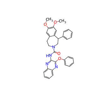 COc1cc2c(cc1OC)C(c1ccccc1)CN(C(=O)Nc1nc3ccccc3nc1Oc1ccccc1)CC2